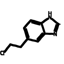 ClCCc1ccc2[nH][c]nc2c1